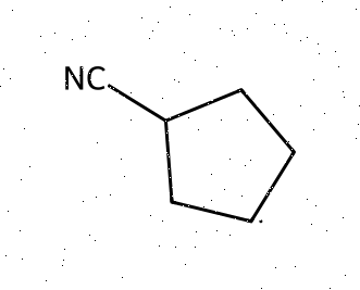 N#CC1C[CH]CC1